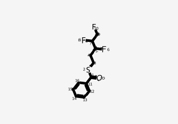 O=C(SCCC(F)C(F)CF)c1ccccc1